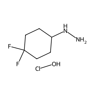 NNC1CCC(F)(F)CC1.OCl